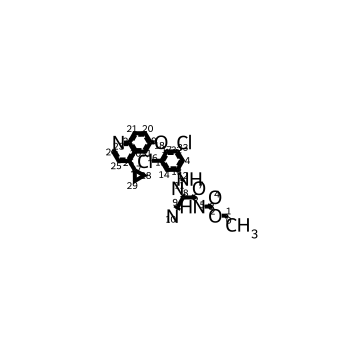 CCOC(=O)NC(=O)C(C#N)=NNc1cc(Cl)c(Oc2ccc3nccc(C4CC4)c3c2)c(Cl)c1